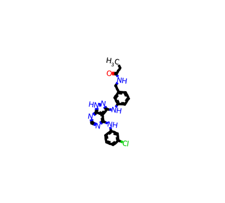 CCC(=O)NCc1cccc(Nc2n[nH]c3ncnc(Nc4cccc(Cl)c4)c23)c1